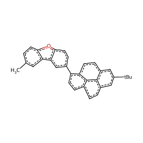 Cc1ccc2oc3ccc(-c4ccc5ccc6cc(C(C)(C)C)cc7ccc4c5c67)cc3c2c1